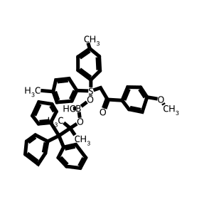 COc1ccc(C(=O)CS(OB(O)OC(C)(C)C(c2ccccc2)(c2ccccc2)c2ccccc2)(c2ccc(C)cc2)c2ccc(C)cc2)cc1